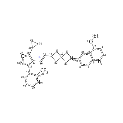 CCOc1ccnc2ccc(N3CC4(CC(/C=C/c5c(-c6cccnc6C(F)(F)F)noc5C5CC5)C4)C3)cc12